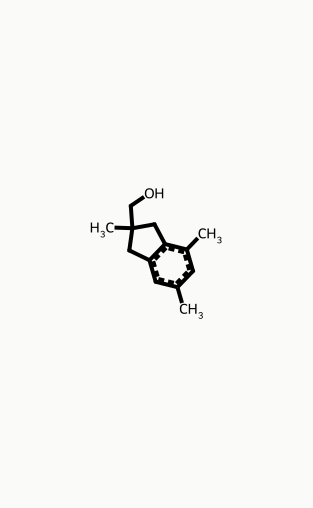 Cc1cc(C)c2c(c1)CC(C)(CO)C2